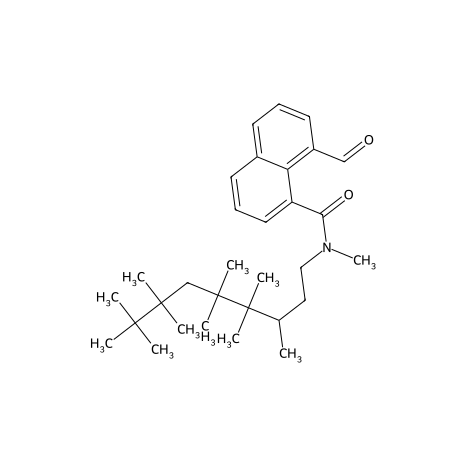 CC(CCN(C)C(=O)c1cccc2cccc(C=O)c12)C(C)(C)C(C)(C)CC(C)(C)C(C)(C)C